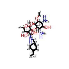 CCO[C@@H]1C2O[C@@H]3O[C@H](C)C[C@@](O)(CNCc4ccc(CC)cc4)[C@]3(O)O[C@@H]2[C@@H](NC)[C@@H](O)[C@H]1NC